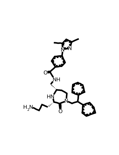 Cc1cc(C)n(-c2ccc(C(=O)NC[C@@H]3CCN(CC(c4ccccc4)c4ccccc4)C(=O)[C@H](CCCN)N3)cc2)n1